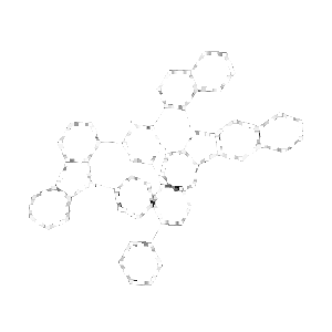 c1ccc(-c2cccc(-c3nc(-c4ccc5ccccc5c4-n4c5ccccc5c5cc6ccccc6cc54)nc(-c4cccc5c6ccccc6n(-c6ccccc6)c45)n3)c2)cc1